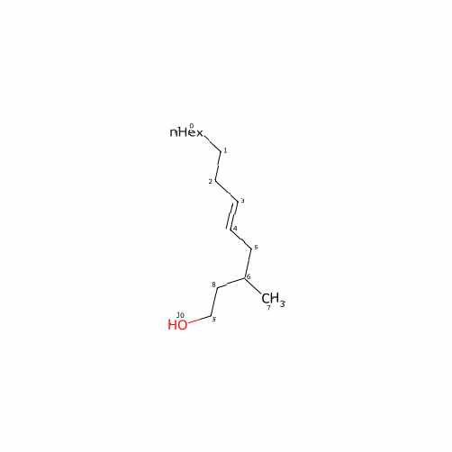 CCCCCCCCC=CCC(C)CCO